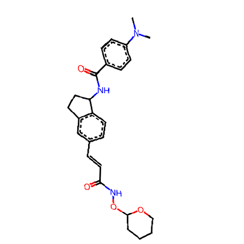 CN(C)c1ccc(C(=O)NC2CCc3cc(/C=C/C(=O)NOC4CCCCO4)ccc32)cc1